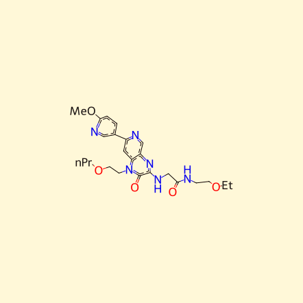 CCCOCCn1c(=O)c(NCC(=O)NCCOCC)nc2cnc(-c3ccc(OC)nc3)cc21